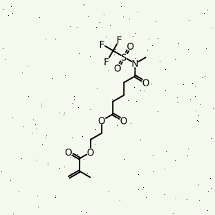 C=C(C)C(=O)OCCOC(=O)CCCC(=O)N(C)S(=O)(=O)C(F)(F)F